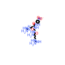 N=C(N)NCCC[C@H](NC(=O)CNC(=O)[C@@H](N)CCCNC(=N)N)C(=O)Nc1ccc([N+](=O)[O-])cc1